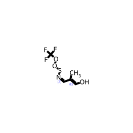 CC(/C=N\SOOC(F)(F)F)=C\O